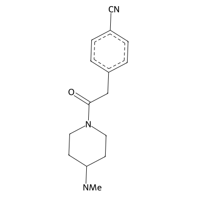 CNC1CCN(C(=O)Cc2ccc(C#N)cc2)CC1